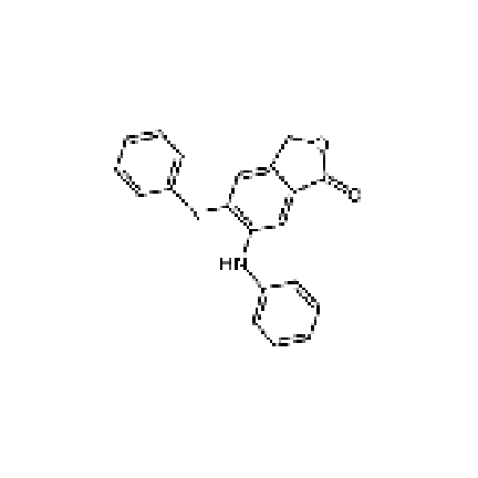 O=C1OCc2cc(Nc3ccccc3)c(Nc3ccccc3)cc21